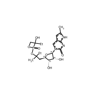 CCC(C)(C[C@H]1O[C@@H](n2cc3cc(C)[nH]c3nc2=O)[C@H](O)[C@@H]1O)OP1(=O)OCC1(O)CC